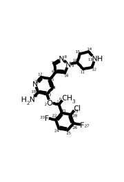 CC(Oc1cc(-c2cnn(C3CCNCC3)c2)cnc1N)c1c(F)ccc(F)c1Cl